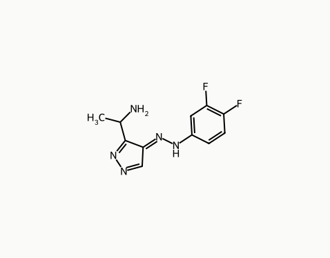 CC(N)C1=NN=CC1=NNc1ccc(F)c(F)c1